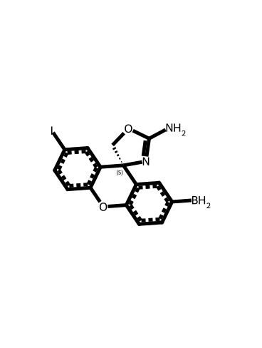 Bc1ccc2c(c1)[C@@]1(COC(N)=N1)c1cc(I)ccc1O2